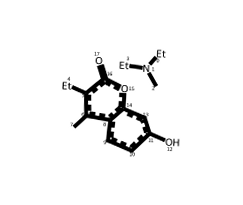 CCN(C)CC.CCc1c(C)c2ccc(O)cc2oc1=O